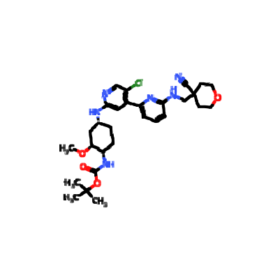 CO[C@H]1C[C@H](Nc2cc(-c3cccc(NCC4(C#N)CCOCC4)n3)c(Cl)cn2)CC[C@H]1NC(=O)OC(C)(C)C